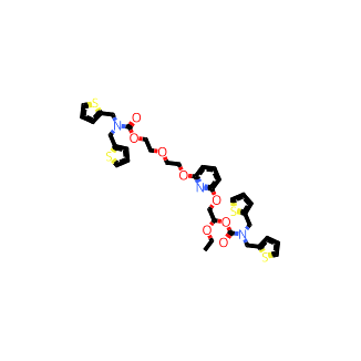 CCOC(COc1cccc(OCCOCCOC(=O)N(Cc2cccs2)Cc2cccs2)n1)OC(=O)N(Cc1cccs1)Cc1cccs1